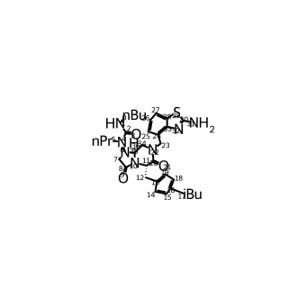 CCCCNC(=O)N(CCC)N1CC(=O)N2[C@@H](Cc3ccc(C(C)CC)cc3)C(=O)N(Cc3cccc4sc(N)nc34)C[C@@H]21